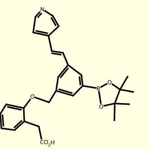 CC1(C)OB(c2cc(/C=C/c3ccncc3)cc(COc3ccccc3CC(=O)O)c2)OC1(C)C